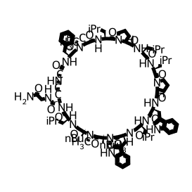 CCCC[C@H]1C(=O)N(C)[C@@H](CCCC)C(=O)N[C@@H](CC(C)C)C(=O)N[C@H](C(=O)NCC(N)=O)CCNCC(=O)N[C@@H](Cc2ccccc2)C(=O)N(C)[C@@H](C)C(=O)N[C@@H](CC(C)C)C(=O)N2CCC[C@H]2C(=O)N[C@@H](CC(C)C)C(=O)N[C@@H](CC(C)C)C(=O)N2CCC[C@H]2C(=O)N[C@@H](Cc2c[nH]c3ccccc23)C(=O)N[C@@H](CC(C)C)C(=O)N[C@@H](Cc2c[nH]c3ccccc23)C(=O)N1C